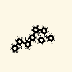 c1ccc(N(c2ccccc2)c2cccc3c2oc2c(-c4ccc5c(c4)oc4c(-c6cccc7c6oc6ccccc67)cccc45)cccc23)cc1